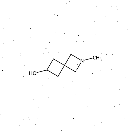 CN1CC2(CC(O)C2)C1